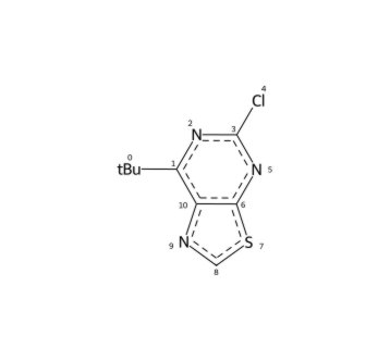 CC(C)(C)c1nc(Cl)nc2scnc12